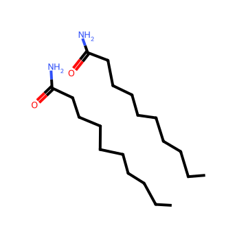 CCCCCCCCCC(N)=O.CCCCCCCCCC(N)=O